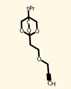 C#CCOCCC12OCC(CCC)(CO1)CO2